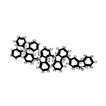 c1ccc([Si](c2ccccc2)(c2ccccc2)c2cccc(-n3c4ccccc4c4c(-n5c6ccccc6c6c(-c7ccc8sc9ccccc9c8c7)cccc65)cccc43)c2)cc1